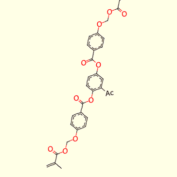 C=C(C)C(=O)OCOc1ccc(C(=O)Oc2ccc(OC(=O)c3ccc(OCOC(=O)C(=C)C)cc3)c(C(C)=O)c2)cc1